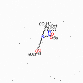 CCCCCCCCC(CC)OC(=O)CCCCCCCN(CCCCCC(CC(=O)O)C(CCCCCCCC)CCCCCCCC)CCCNC(=O)OC(C)(C)C